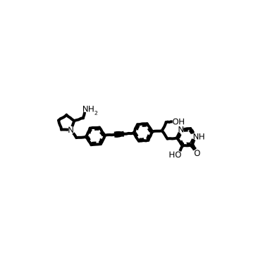 NCC1CCCN1Cc1ccc(C#Cc2ccc(C(CO)Cc3nc[nH]c(=O)c3O)cc2)cc1